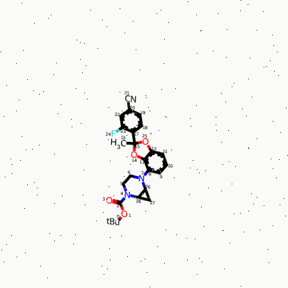 CC(C)(C)OC(=O)N1CCN(c2cccc3c2OC(C)(c2ccc(C#N)cc2F)O3)C2CC21